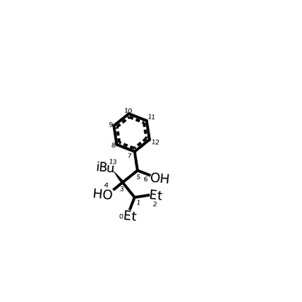 CCC(CC)C(O)(C(O)c1ccccc1)[C@H](C)CC